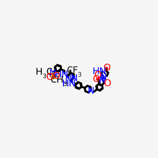 CN(c1cccc(CNc2nc(Nc3ccc(C4CCN(Cc5ccc6c(c5)C(=O)N(N5CCC(=O)NC5=O)C6=O)CC4)cc3)ncc2C(F)(F)F)c1)S(C)(=O)=O